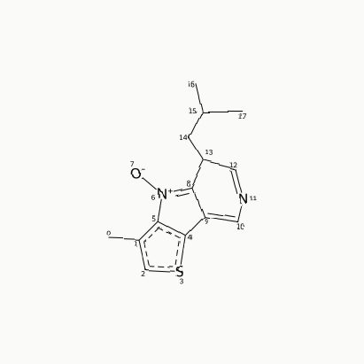 Cc1csc2c1[N+]([O-])=C1C2=CN=CC1CC(C)C